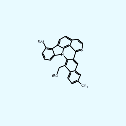 Cc1ccc2c(CC(C)(C)C)c3c(cc2c1)c1nccc2ccc4c5c(C(C)(C)C)cccc5n3c4c21